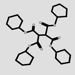 O=C(OC1CCCCC1)C(C(=O)OC1CCCCC1)C(C(=O)OC1CCCCC1)C(=O)OC1CCCCC1